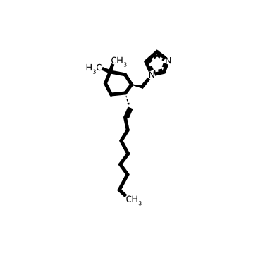 CCCCCCCC=C[C@@H]1CCC(C)(C)C[C@H]1Cn1ccnc1